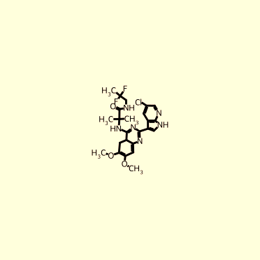 COC1=C(OC)CC2C(=C1)N=C(c1c[nH]c3ncc(Cl)cc13)N=C2NC(C)(C)C(=O)NCC(C)(F)F